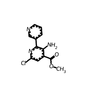 COC(=O)c1cc(Cl)nc(-c2cccnc2)c1N